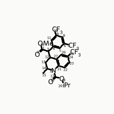 COC(=O)C(c1cc(C(F)(F)F)cc(C(F)(F)F)c1)C1CC(C)N(C(=O)OC(C)C)c2ccc(C(F)(F)F)cc21